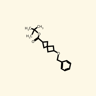 CC(C)(C)OC(=O)C1CC2(CC(OCc3ccccc3)C2)C1